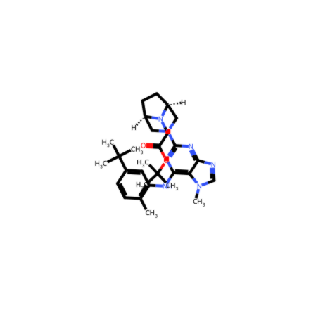 Cc1ccc(C(C)(C)C)cc1Nc1nc(N2C[C@H]3CC[C@@H](C2)N3CC(=O)OC(C)(C)C)nc2ncn(C)c12